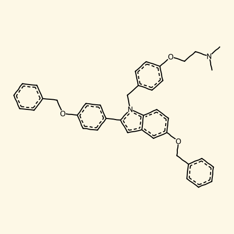 CN(C)CCOc1ccc(Cn2c(-c3ccc(OCc4ccccc4)cc3)cc3cc(OCc4ccccc4)ccc32)cc1